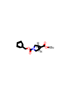 CC(C)(C)OC(=O)C1[C@H]2CN(C(=O)OCc3ccccc3)C[C@@H]12